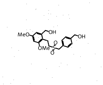 COc1cc(CO)c(CCS(=O)(=O)Cc2ccc(CO)cc2)c(OC)c1